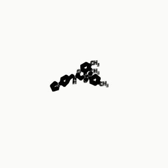 Cc1ccc(S(=O)(=O)N(CC(=O)NCc2ccc(-n3cccc3)cc2)c2cccc(C)c2C)cc1